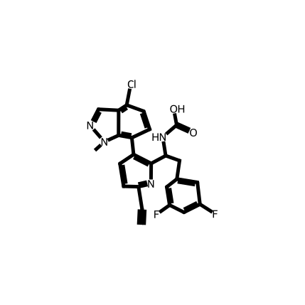 C#Cc1ccc(-c2ccc(Cl)c3cnn(C)c23)c(C(Cc2cc(F)cc(F)c2)NC(=O)O)n1